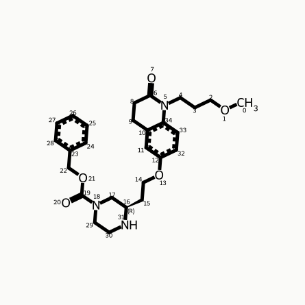 COCCCN1C(=O)CCc2cc(OCC[C@@H]3CN(C(=O)OCc4ccccc4)CCN3)ccc21